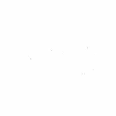 CC1(C)CCC(C)(C)c2cc(-c3cccc(N4CCC(NCC(=O)O)CC4)n3)ccc21